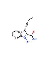 CCC#Cc1c2ccccc2n2nc[nH]c(=O)c12